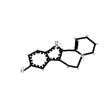 Clc1ccc2[nH]c3c(c2c1)CCN1CCCC=C31